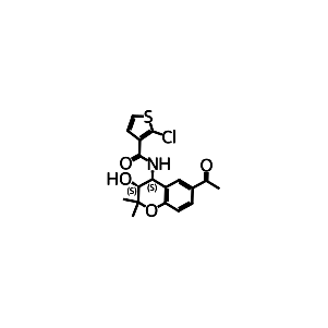 CC(=O)c1ccc2c(c1)[C@H](NC(=O)c1ccsc1Cl)[C@H](O)C(C)(C)O2